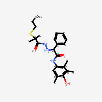 CCCCCCCCCCCCSC(C)(C)C(=O)NNC(C(=O)Nc1cc(C)c(O)c(C)c1C)c1ccccc1